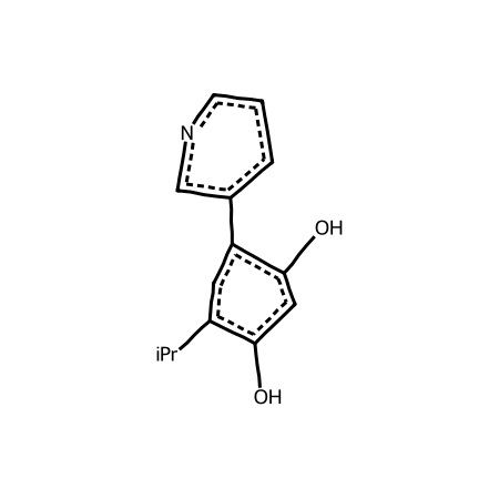 CC(C)c1cc(-c2cccnc2)c(O)cc1O